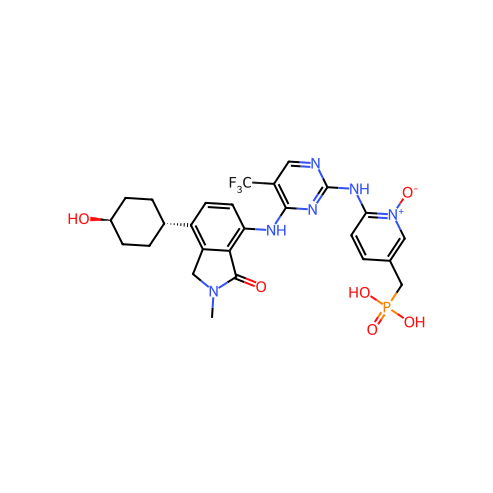 CN1Cc2c(c(Nc3nc(Nc4ccc(CP(=O)(O)O)c[n+]4[O-])ncc3C(F)(F)F)ccc2[C@H]2CC[C@H](O)CC2)C1=O